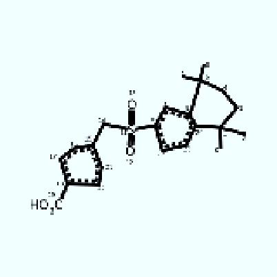 CC1(C)CCC(C)(C)c2cc(S(=O)(=O)Cc3ccc(C(=O)O)cc3)ccc21